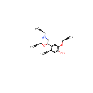 C#CCNCC(OCC#C)c1cc(OCC#C)c(O)cc1C#C